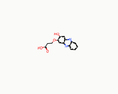 O=C(O)CCOc1cc2nc3ccccc3nc2cc1O